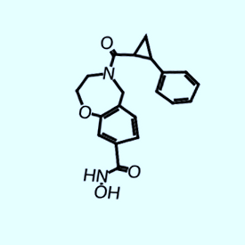 O=C(NO)c1ccc2c(c1)OCCN(C(=O)C1CC1c1ccccc1)C2